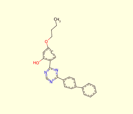 CCCCOc1ccc(-c2ncnc(-c3ccc(-c4ccccc4)cc3)n2)c(O)c1